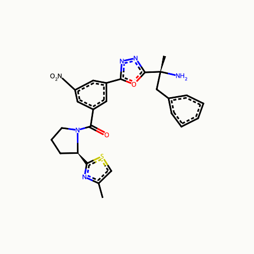 Cc1csc([C@H]2CCCN2C(=O)c2cc(-c3nnc([C@](C)(N)Cc4ccccc4)o3)cc([N+](=O)[O-])c2)n1